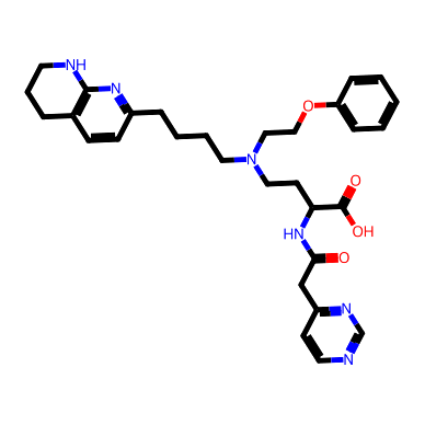 O=C(Cc1ccncn1)NC(CCN(CCCCc1ccc2c(n1)NCCC2)CCOc1ccccc1)C(=O)O